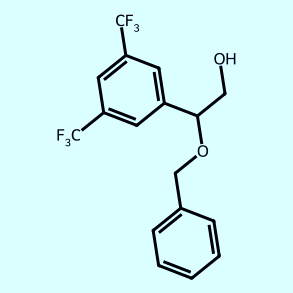 OCC(OCc1ccccc1)c1cc(C(F)(F)F)cc(C(F)(F)F)c1